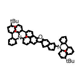 CC(C)(C)c1ccc(-c2ccccc2N(c2ccc3cc4c(cc3c2)oc2cc3cc(N(c5ccc(C(C)(C)C)cc5)c5ccccc5-c5ccccc5)ccc3cc24)c2ccccc2-c2ccccc2)cc1